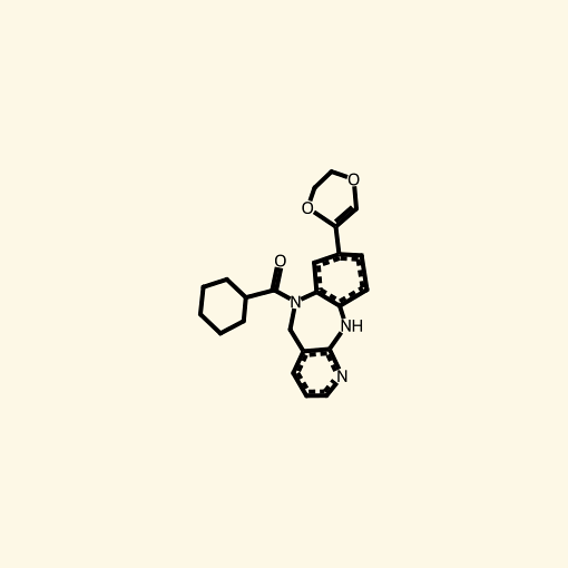 O=C(C1CCCCC1)N1Cc2cccnc2Nc2ccc(C3=COCCO3)cc21